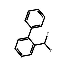 FC(F)c1c[c]ccc1-c1ccccc1